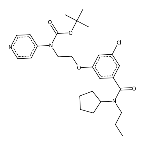 CCCN(C(=O)c1cc(Cl)cc(OCCN(C(=O)OC(C)(C)C)c2ccncc2)c1)C1CCCC1